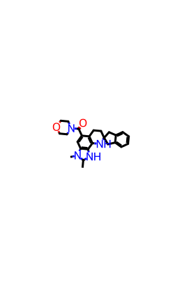 CC1Nc2c(cc(C(=O)N3CCOCC3)c3c2NC2(CC3)Cc3ccccc3C2)N1C